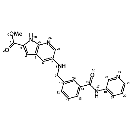 COC(=O)c1cc2cc(NCc3cccc(C(=O)Nc4cccnc4)c3)cnc2[nH]1